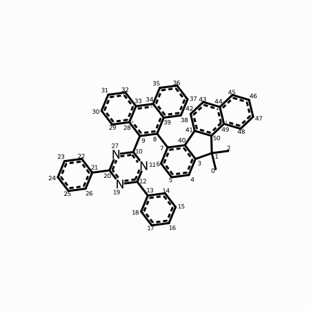 CC1(C)c2cccc(-c3c(-c4nc(-c5ccccc5)nc(-c5ccccc5)n4)c4ccccc4c4ccccc34)c2-c2ccc3ccccc3c21